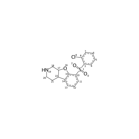 O=S(=O)(c1ccccc1Cl)c1cccc2c1OC1CNCCC21